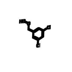 OOCc1cc(Cl)cc(Cl)c1